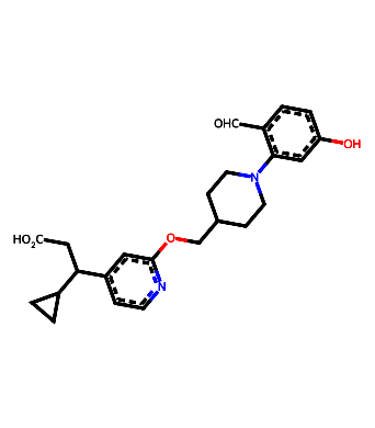 O=Cc1ccc(O)cc1N1CCC(COc2cc(C(CC(=O)O)C3CC3)ccn2)CC1